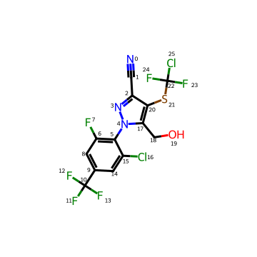 N#Cc1nn(-c2c(F)cc(C(F)(F)F)cc2Cl)c(CO)c1SC(F)(F)Cl